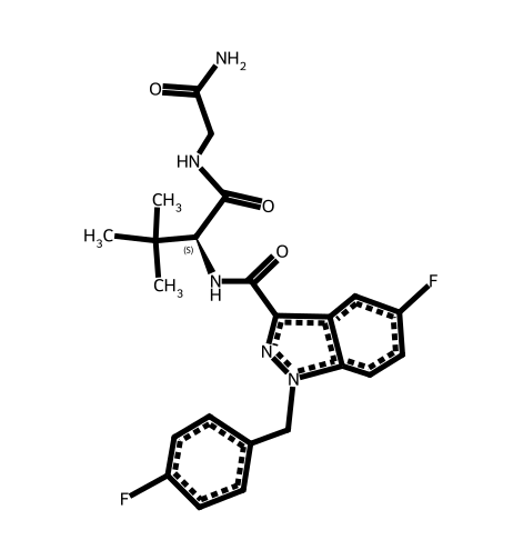 CC(C)(C)[C@H](NC(=O)c1nn(Cc2ccc(F)cc2)c2ccc(F)cc12)C(=O)NCC(N)=O